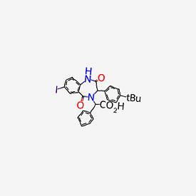 CC(C)(C)c1ccc(C2C(=O)Nc3ccc(I)cc3C(=O)N2C(C(=O)O)c2ccccc2)cc1